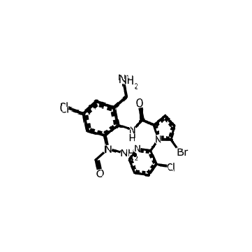 NCc1cc(Cl)cc(N(N)C=O)c1NC(=O)c1ccc(Br)n1-c1ncccc1Cl